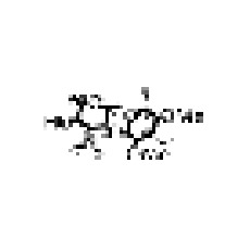 CO[C@H]1[C@H](O[C@@H]2C(C)OC(C)[C@H](O)[C@H]2N(C)C)O[C@H](C)[C@@H](OC)[C@@H]1C